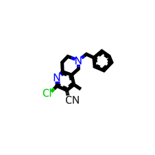 Cc1c(C#N)c(Cl)nc2c1CN(Cc1ccccc1)CC2